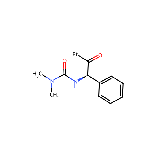 CCC(=O)[C@H](NC(=O)N(C)C)c1ccccc1